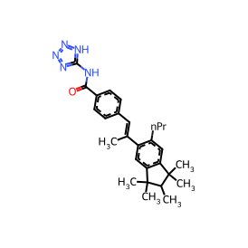 CCCc1cc2c(cc1C(C)=Cc1ccc(C(=O)Nc3nnn[nH]3)cc1)C(C)(C)C(C)C2(C)C